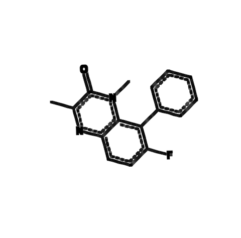 Cc1nc2ccc(F)c(-c3ccccc3)c2n(C)c1=O